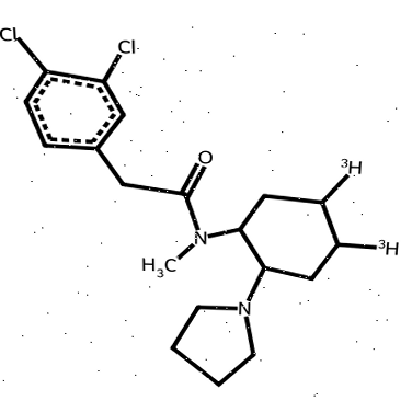 [3H]C1CC(N2CCCC2)C(N(C)C(=O)Cc2ccc(Cl)c(Cl)c2)CC1[3H]